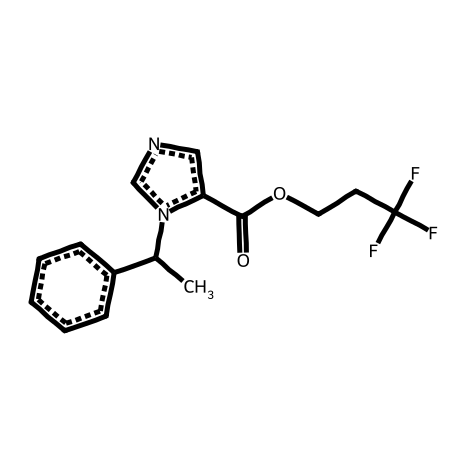 CC(c1ccccc1)n1cncc1C(=O)OCCC(F)(F)F